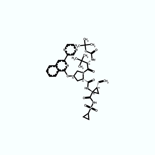 C=C[C@@H]1C[C@]1(NC(=O)[C@@H]1C[C@@H](Oc2nc(-c3cnccn3)cc3ccccc23)CN1C(=O)[C@@H](NC(=O)OC(C)(C)C)C(C)(C)C)C(=O)NS(=O)(=O)C1CC1